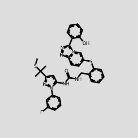 CSC(C)(C)c1cc(NC(=O)NCc2ccccc2Sc2ccc3nnc(-c4ccccc4O)n3c2)n(-c2cccc(F)c2)n1